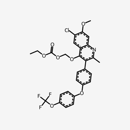 CCOC(=O)OCOc1c(-c2ccc(Oc3ccc(OC(F)(F)F)cc3)cc2)c(C)nc2cc(OC)c(Cl)cc12